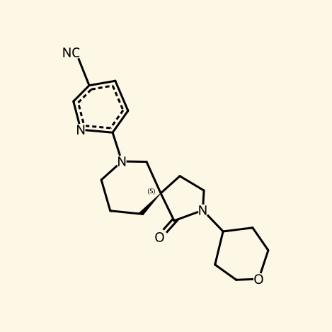 N#Cc1ccc(N2CCC[C@]3(CCN(C4CCOCC4)C3=O)C2)nc1